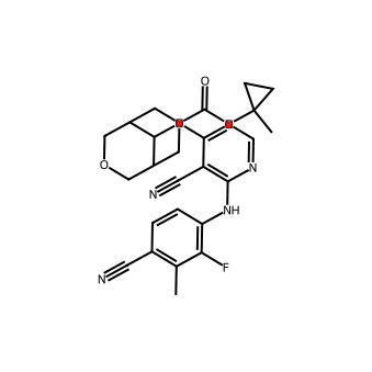 Cc1c(C#N)ccc(Nc2ncnc(OC3C4COCC3CN(C(=O)OC3(C)CC3)C4)c2C#N)c1F